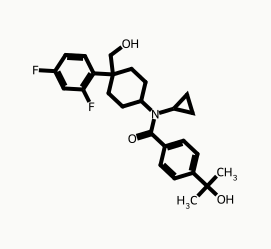 CC(C)(O)c1ccc(C(=O)N(C2CC2)C2CCC(CO)(c3ccc(F)cc3F)CC2)cc1